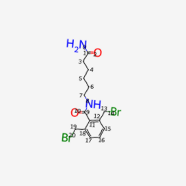 NC(=O)CCCCCNC(=O)c1c(CBr)cccc1CBr